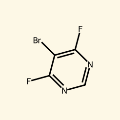 Fc1ncnc(F)c1Br